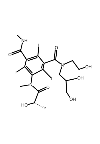 CNC(=O)c1c(I)c(C(=O)N(CCO)CC(O)CO)c(I)c(N(C)C(=O)[C@H](C)O)c1I